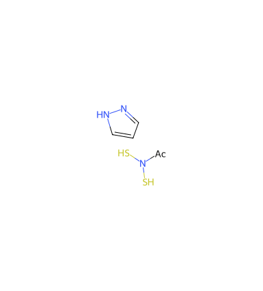 CC(=O)N(S)S.c1cn[nH]c1